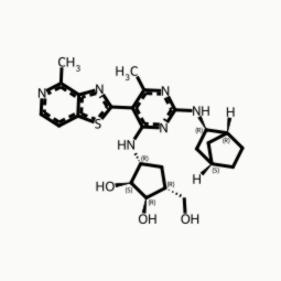 Cc1nc(N[C@@H]2C[C@H]3CC[C@@H]2C3)nc(N[C@@H]2C[C@H](CO)[C@@H](O)[C@H]2O)c1-c1nc2c(C)nccc2s1